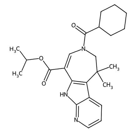 CC(C)OC(=O)C1=CN(C(=O)C2CCCCC2)CC(C)(C)c2c1[nH]c1ncccc21